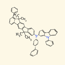 CC1(C)c2cc(N(c3ccc(-c4ccccc4)cc3)c3ccc4c5ccccc5n(-c5ccccc5)c4c3)ccc2-c2cc3c(cc21)-c1cccc(-c2ccccc2)c1C3(C)C